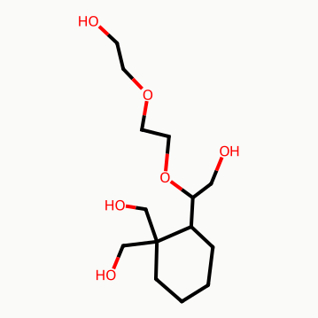 OCCOCCOC(CO)C1CCCCC1(CO)CO